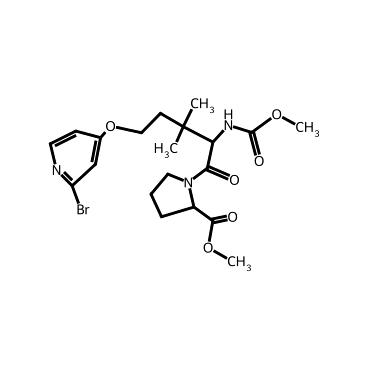 COC(=O)NC(C(=O)N1CCCC1C(=O)OC)C(C)(C)CCOc1ccnc(Br)c1